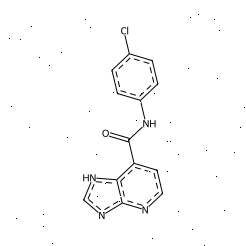 O=C(Nc1ccc(Cl)cc1)c1ccnc2nc[nH]c12